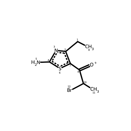 CCc1nc(N)sc1C(=O)C(C)Br